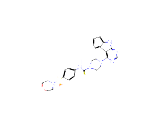 O=S(=O)(c1ccc(NC(=S)N2CCN(c3ncnc4[nH]c5ccccc5c34)CC2)cc1)N1CCOCC1